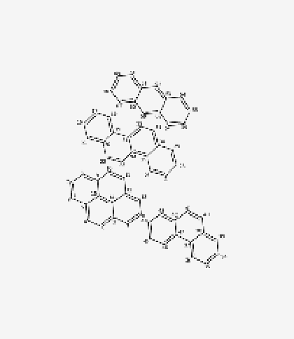 c1cc2ccc3cccc4ccc(c1)c2c34.c1ccc2c(c1)ccc1c3ccccc3ccc21.c1ccc2c(c1)ccc1ccccc12.c1ccc2cc3ccccc3cc2c1